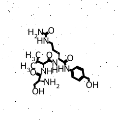 CC(C)[C@H](NC(=O)[C@@H](N)CO)C(=O)N[C@@H](CCCNC(N)=O)C(=O)Nc1ccc(CO)cc1